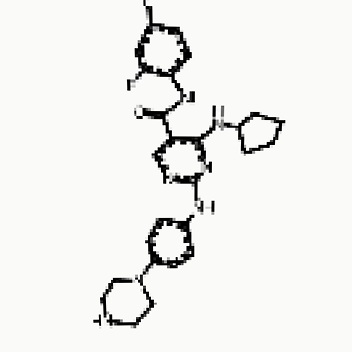 O=C(Nc1ccc(Cl)cc1F)c1cnc(Nc2ccc(N3CCNCC3)cc2)nc1NC1CCCC1